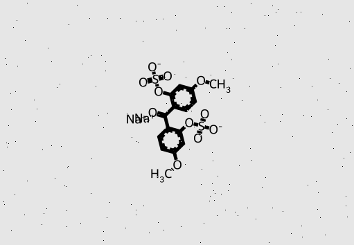 COc1ccc(C(=O)c2ccc(OC)cc2OS(=O)(=O)[O-])c(OS(=O)(=O)[O-])c1.[Na+].[Na+]